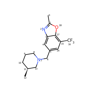 Cc1nc2cc(CN3CCC[C@H](C)C3)cc(C(F)(F)F)c2o1